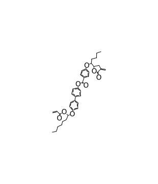 C=CC(=O)OC(CCCCCC)Oc1ccc(-c2ccc(OC(=O)c3ccc(OC(CCCC)C4CC(=C)C(=O)O4)cc3)cc2)cc1